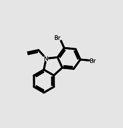 C=Cn1c2ccccc2c2cc(Br)cc(Br)c21